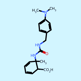 CN(C)c1ccc(CNC(=O)NC2(C)C=CC=CC2C(=O)O)cc1